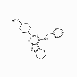 O=C(O)C1CCC(c2nc(NCc3ccccc3)c3c4c(sc3n2)CCCC4)CC1